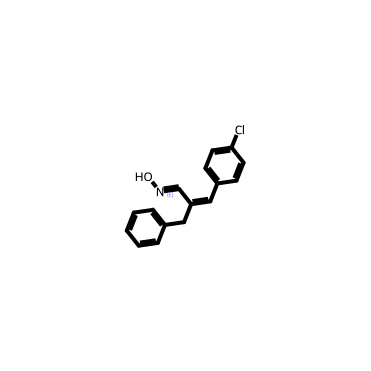 O/N=C/C(=Cc1ccc(Cl)cc1)Cc1ccccc1